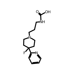 O=C(O)NCCCN1CCC(F)(c2ccccn2)CC1